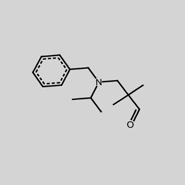 CC(C)N(Cc1ccccc1)CC(C)(C)C=O